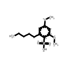 CCCCCc1cc(OC)cc(OC)c1S(=O)(=O)O